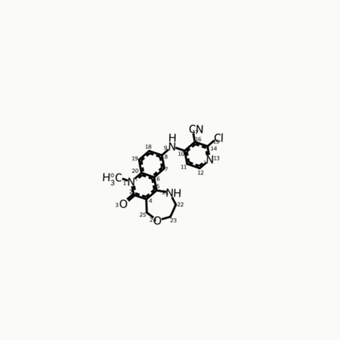 Cn1c(=O)c2c(c3cc(Nc4ccnc(Cl)c4C#N)ccc31)NCCOC2